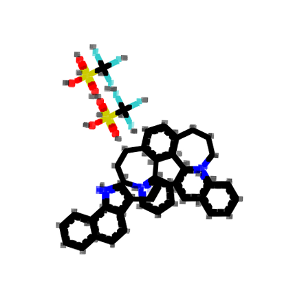 C(=C\c1c[nH]c2c1ccc1ccccc12)/c1cc2ccccc2[n+]2c1-c1c(ccc3c1-c1cccc[n+]1CCC3)CCC2.O=S(=O)([O-])C(F)(F)F.O=S(=O)([O-])C(F)(F)F